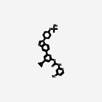 CC(C)(C)[Si](C)(C)OC1CCC(n2cnc3cc(-c4cc(C5CC5)cc(OC(=O)Nc5cc(C#N)ccn5)n4)ccc32)CC1